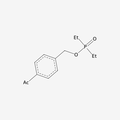 CCP(=O)(CC)OCc1ccc(C(C)=O)cc1